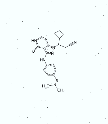 CN(C)Sc1ccc(Nc2nn(C(CC#N)C3CCC3)c3cc[nH]c(=O)c23)cc1